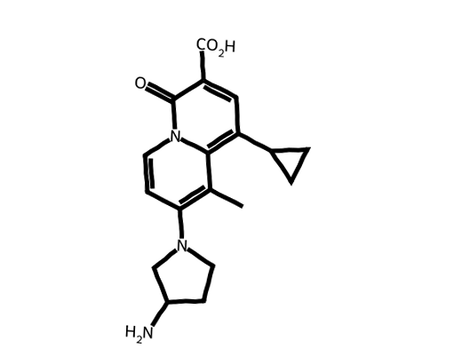 Cc1c(N2CCC(N)C2)ccn2c(=O)c(C(=O)O)cc(C3CC3)c12